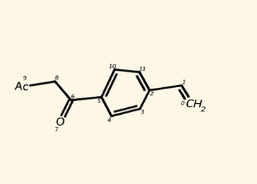 C=Cc1ccc(C(=O)CC(C)=O)cc1